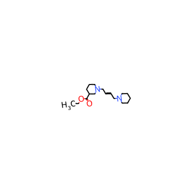 CCOC(=O)C1CCCN(CC=CCN2CCCCC2)C1